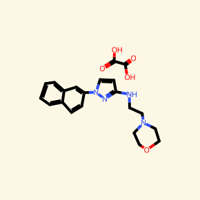 O=C(O)C(=O)O.c1ccc2cc(-n3ccc(NCCN4CCOCC4)n3)ccc2c1